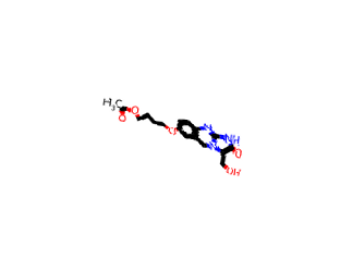 CC(=O)OCCCCOc1ccc2c(c1)CN1C(=N2)NC(=O)C1CO